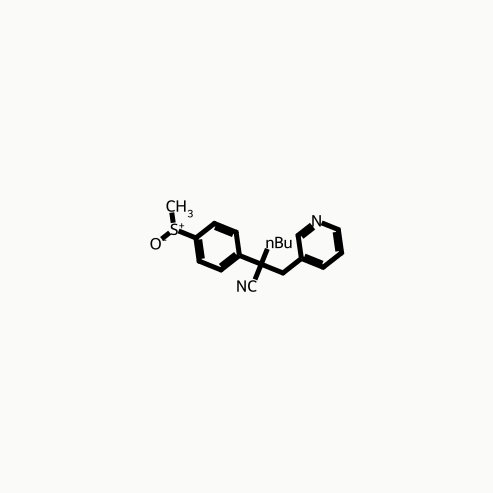 CCCCC(C#N)(Cc1cccnc1)c1ccc([S+](C)[O-])cc1